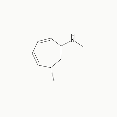 CNC1C=CC=C[C@@H](C)C1